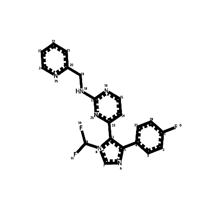 Fc1ccc(-c2ncn(C(F)F)c2-c2ccnc(NCc3ccccn3)n2)cc1